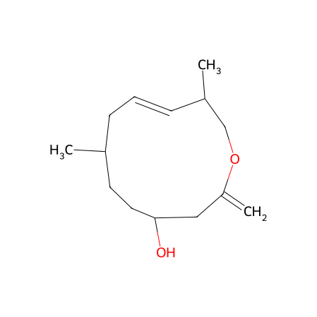 C=C1CC(O)CCC(C)C/C=C/C(C)CO1